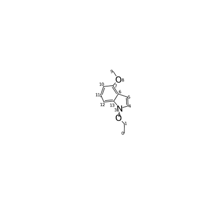 CCOn1ccc2c(OC)c[c]cc21